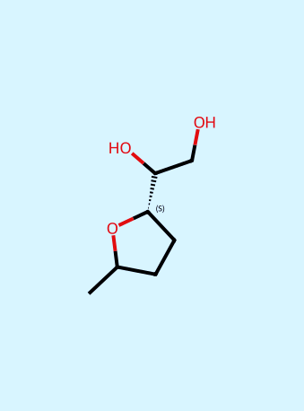 CC1CC[C@@H](C(O)CO)O1